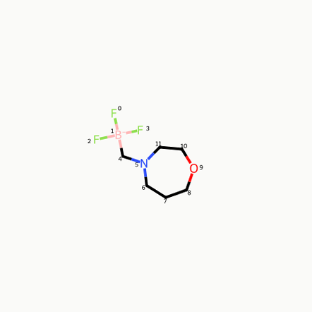 F[B-](F)(F)CN1CCCOCC1